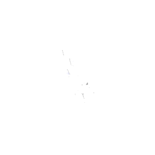 C=C/C=C\C=C/CCNC(C)C(=O)Br